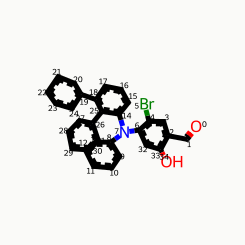 O=Cc1cc(Br)c(N(c2ccccc2)c2cccc(-c3ccccc3)c2-c2ccccc2)cc1O